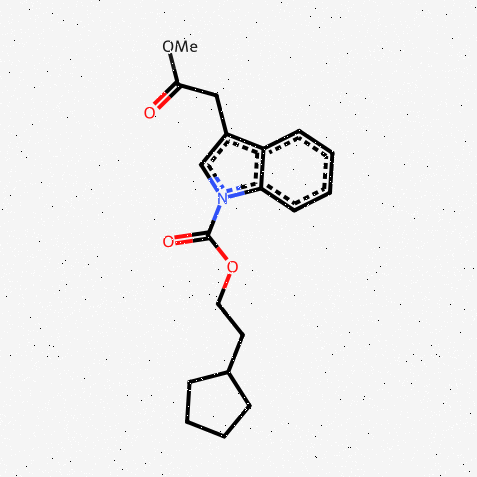 COC(=O)Cc1cn(C(=O)OCCC2CCCC2)c2ccccc12